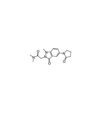 CN(C)C(=O)Cn1c(=O)c2cc(N3CCCC3=O)ccc2n1C